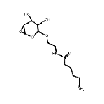 NCCCCC(=O)NCCOC1OC2OC2C(O)C1O